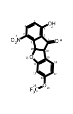 O=C1c2c(O)ccc([N+](=O)[O-])c2C2Oc3cc(OC(F)(F)F)ccc3C12